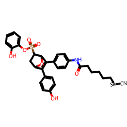 N#C[Se]CCCCCC(=O)Nc1ccc(C2=C(c3ccc(O)cc3)C3CC(S(=O)(=O)Oc4ccccc4O)C2O3)cc1